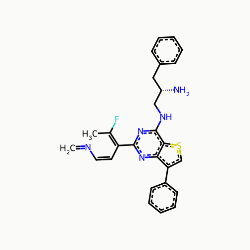 C=N/C=C\C(=C(/C)F)c1nc(NC[C@@H](N)Cc2ccccc2)c2scc(-c3ccccc3)c2n1